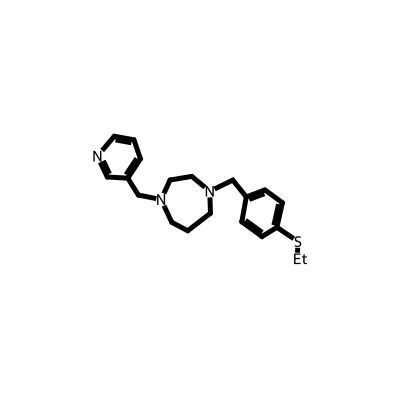 CCSc1ccc(CN2CCCN(Cc3cccnc3)CC2)cc1